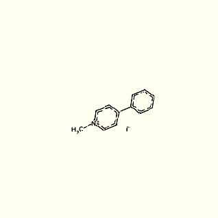 C[n+]1ccc(-c2ccccc2)cc1.[I-]